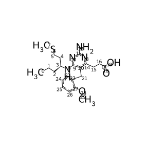 CCC[C@@H](CCSC)Nc1nc(N)nc(CCC(=O)O)c1Cc1ccccc1OC